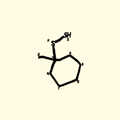 CC1(SS)CCCCC1